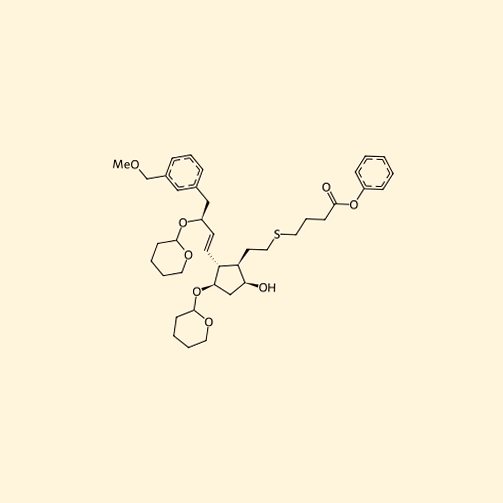 COCc1cccc(C[C@@H](/C=C/[C@@H]2[C@@H](CCSCCCC(=O)Oc3ccccc3)[C@@H](O)C[C@H]2OC2CCCCO2)OC2CCCCO2)c1